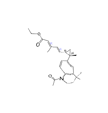 CCOC(=O)/C=C(C)/C=C/[C@@H]1C[C@]1(C)c1ccc2c(c1)C(C)(C)CCN2C(C)=O